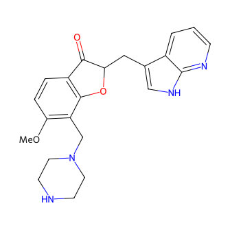 COc1ccc2c(c1CN1CCNCC1)OC(Cc1c[nH]c3ncccc13)C2=O